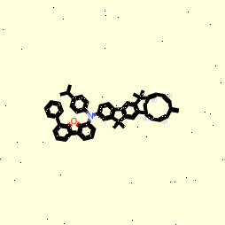 C=C1/C=C\C=C2/C/C(=C\C=C/1)C(C)(C)c1cc3c(cc12)C(C)(C)c1cc(N(c2ccc(C(C)C)cc2)c2cccc4c2oc2c(-c5ccccc5)cccc24)ccc1-3